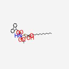 CCCCCCCCCCCCOC[C@H](O)CSCC(NC(=O)OCC1c2ccccc2-c2ccccc21)C(=O)OC(C)(C)C